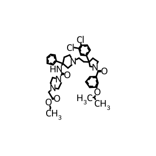 CCOC(=O)CN1CCN(C(=O)NC2(c3ccccc3)CCN(CCC3(c4ccc(Cl)c(Cl)c4)CCN(C(=O)c4cccc(OC(C)C)c4)C3)CC2)CC1